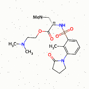 CNC[C@H](NS(=O)(=O)c1cccc(N2CCCC2=O)c1C)C(=O)OCCN(C)C